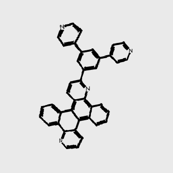 c1ccc2c(c1)c1ncccc1c1c3ccccc3c3nc(-c4cc(-c5ccncc5)cc(-c5ccncc5)c4)ccc3c21